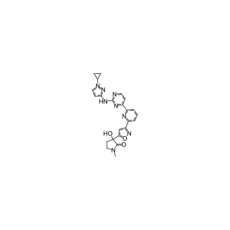 CN1CCC(O)(c2cc(-c3cccc(-c4ccnc(Nc5ccn(C6CC6)n5)n4)n3)no2)C1=O